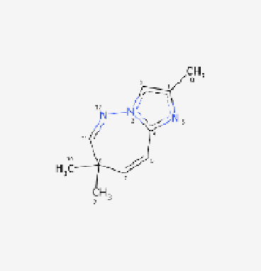 Cc1cn2c(n1)C=CC(C)(C)C=N2